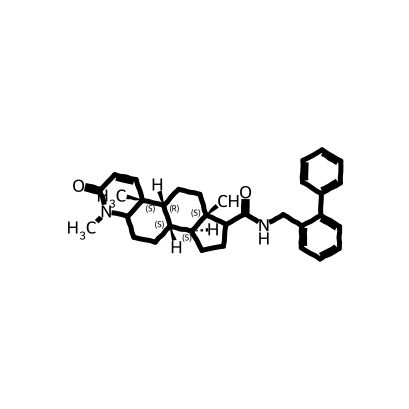 CN1C(=O)C=C[C@@]2(C)C1CC[C@@H]1[C@H]2CC[C@]2(C)C(C(=O)NCc3ccccc3-c3ccccc3)CC[C@@H]12